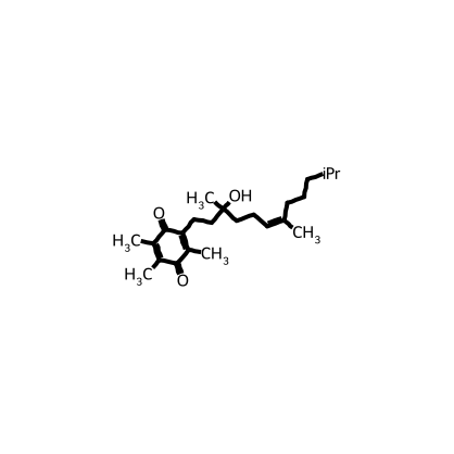 CC(=CCCC(C)(O)CCC1=C(C)C(=O)C(C)=C(C)C1=O)CCCC(C)C